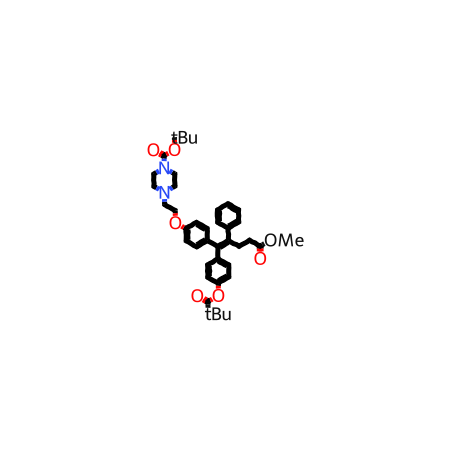 COC(=O)CC/C(=C(/c1ccc(OCCN2CCN(C(=O)OC(C)(C)C)CC2)cc1)c1ccc(OC(=O)C(C)(C)C)cc1)c1ccccc1